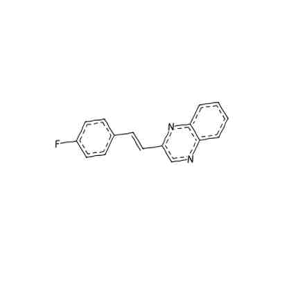 Fc1ccc(C=Cc2cnc3ccccc3n2)cc1